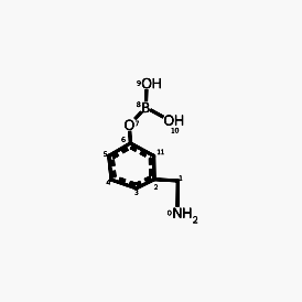 NCc1cccc(OB(O)O)c1